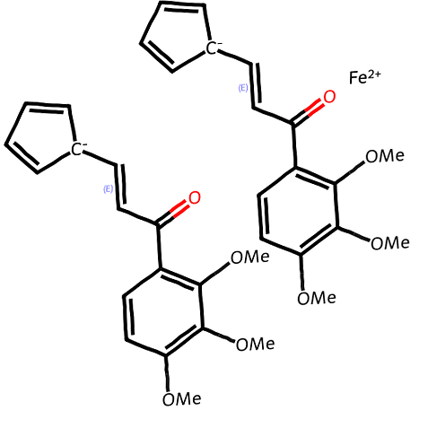 COc1ccc(C(=O)/C=C/[c-]2cccc2)c(OC)c1OC.COc1ccc(C(=O)/C=C/[c-]2cccc2)c(OC)c1OC.[Fe+2]